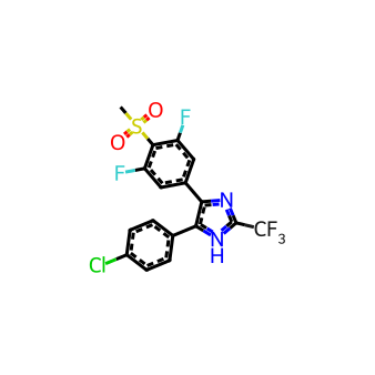 CS(=O)(=O)c1c(F)cc(-c2nc(C(F)(F)F)[nH]c2-c2ccc(Cl)cc2)cc1F